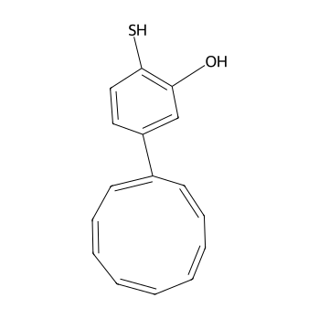 Oc1cc(-c2ccccccccc2)ccc1S